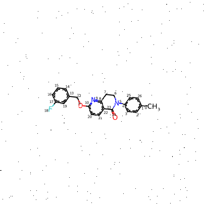 Cc1ccc(N2CCc3nc(OCc4cccc(F)c4)ccc3C2=O)cc1